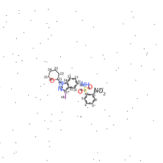 O=[N+]([O-])c1ccccc1S(=O)(=O)Nc1ccc2c(c1)c(I)nn2C1CCCCO1